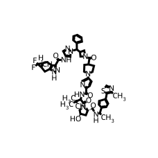 Cc1ncsc1-c1ccc(C(C)NC(=O)[C@@H]2C[C@@H](O)CN2C(=O)C(NC(=O)c2ccc(N3CCC(C(=O)N4CC(C(c5ccccc5)n5cc(NC(=O)c6n[nH]c7c6C[C@@H]6C(F)(F)[C@]6(C)C7)cn5)C4)CC3)cn2)C(C)(C)C)cc1